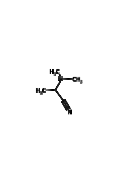 C[CH](C#N)[Bi]([CH3])[CH3]